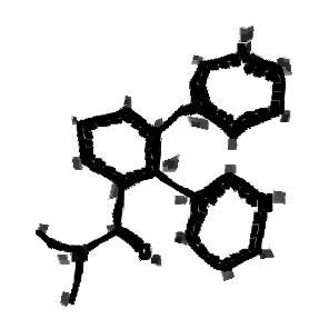 CN(C)C(=O)c1cccc(-c2cccnc2)c1-c1cccnc1